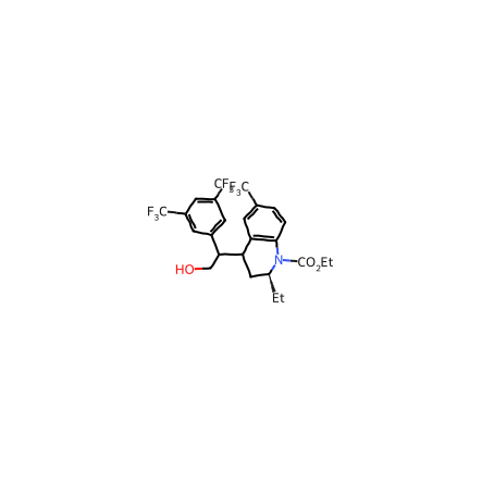 CCOC(=O)N1c2ccc(C(F)(F)F)cc2C(C(CO)c2cc(C(F)(F)F)cc(C(F)(F)F)c2)C[C@@H]1CC